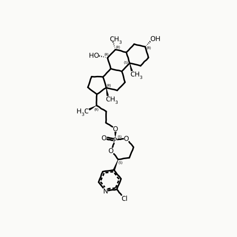 C[C@H](CCO[P@@]1(=O)OCC[C@@H](c2ccnc(Cl)c2)O1)C1CCC2C3C(CC[C@@]21C)[C@@]1(C)CC[C@@H](O)CC1[C@@H](C)[C@H]3O